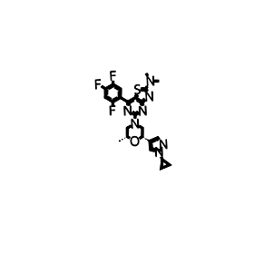 C[C@@H]1CN(c2nc(-c3cc(F)c(F)cc3F)c3sc(N(C)C)nc3n2)C[C@H](c2cnn(C3CC3)c2)O1